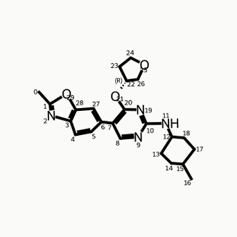 Cc1nc2ccc(-c3cnc(NC4CCC(C)CC4)nc3O[C@@H]3CCOC3)cc2o1